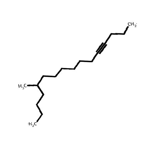 [CH2]CCC#CCCCCCCC(C)CCC[CH2]